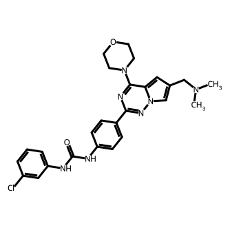 CN(C)Cc1cc2c(N3CCOCC3)nc(-c3ccc(NC(=O)Nc4cccc(Cl)c4)cc3)nn2c1